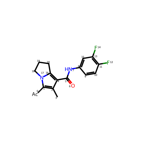 CC(=O)c1c(C)c(C(=O)Nc2ccc(F)c(F)c2)c2n1CCC2